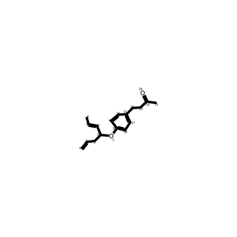 C=CCC(C=CC)Oc1ccc(CCC(C)=O)cc1